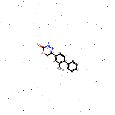 Cc1cc(C2=NNC(=O)OC2)ccc1-c1ccccc1